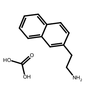 NCCc1ccc2ccccc2c1.O=C(O)O